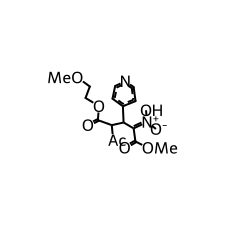 COCCOC(=O)C(C(C)=O)C(C(C(=O)OC)=[N+]([O-])O)c1ccncc1